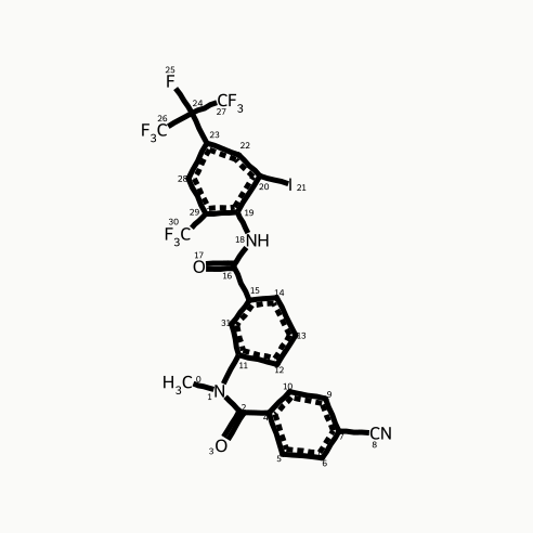 CN(C(=O)c1ccc(C#N)cc1)c1cccc(C(=O)Nc2c(I)cc(C(F)(C(F)(F)F)C(F)(F)F)cc2C(F)(F)F)c1